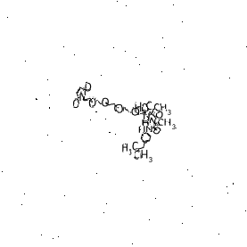 CC(C)Cc1ccc(NC(=O)[C@H](C)NC(=O)[C@@H](NC(=O)COCCOCCOCCOCCN2C(=O)C=CC2=O)C(C)C)cc1